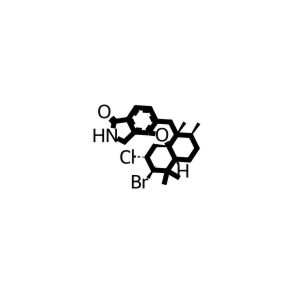 C[C@H]1CC[C@H]2C(C)(C)[C@@H](Br)[C@H](Cl)C[C@]23Oc2c(ccc4c2CNC4=O)C[C@]13C